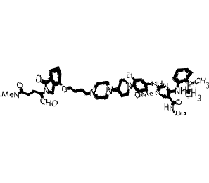 CCc1cc(Nc2ncc(C(=O)NC(C)CC)c(Nc3ccccc3P(C)C)n2)c(OC)cc1N1CCC(N2CCN(CCCCOc3cccc4c3CN(C(C=O)CCC(=O)NC)C4=O)CC2)CC1